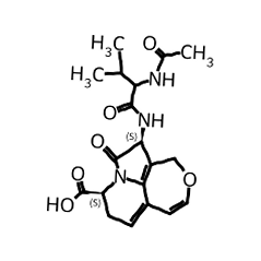 CC(=O)NC(C(=O)N[C@@H]1C(=O)N2C3=C1COC=CC3=CC[C@H]2C(=O)O)C(C)C